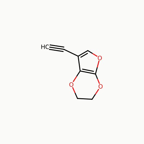 C#Cc1coc2c1OCCO2